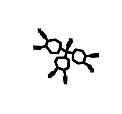 N#CC1CCC(C(C#N)(C2CCC(C#N)C(C#N)CC2)C2CCC(C#N)C(C#N)CC2)CCC1C#N